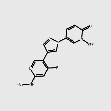 CCCn1cc(-n2cc(-c3cnc(NC(C)(C)C)cc3F)cn2)ccc1=O